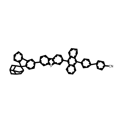 N#Cc1ccc(-c2ccc(-c3c4ccccc4c(-c4ccc5c(c4)sc4cc(-c6ccc7c(c6)-c6ccccc6C76C7CC8CC(C7)CC6C8)ccc45)c4ccccc34)cc2)cc1